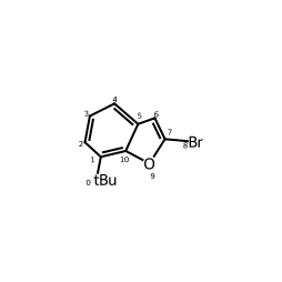 CC(C)(C)c1cccc2cc(Br)oc12